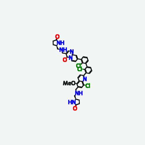 COc1c(CNC[C@H]2CCC(=O)N2)cc(Cl)c2nc(-c3cccc(-c4cccc(-c5ccn6c(=O)c(CNC[C@H]7CCC(=O)N7)cnc6c5)c4Cl)c3Cl)ccc12